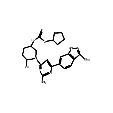 CNc1n[nH]c2cc(-c3cc(N4CC(NC(=O)OC5CCCC5)CCC4C)nc(N)n3)ccc12